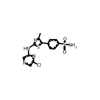 Cc1nc(Nc2cncc(Cl)n2)sc1-c1ccc(S(N)(=O)=O)cc1